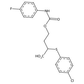 O=C(Nc1ccc(F)cc1)OCCC(Sc1ccc(Cl)cc1)C(=O)O